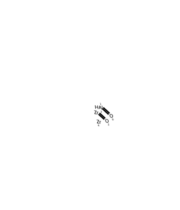 [O]=[AlH].[O]=[Zr].[Zr]